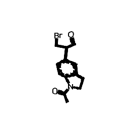 CC(=O)N1CCc2cc(C(C=O)CBr)ccc21